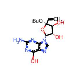 C=C[C@]1(OCC(C)C)O[C@@H](n2cnc3c(O)nc(N)nc32)[C@@H](O)[C@@H]1O